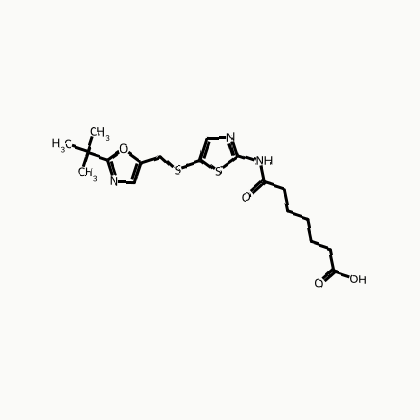 CC(C)(C)c1ncc(CSc2cnc(NC(=O)CCCCCC(=O)O)s2)o1